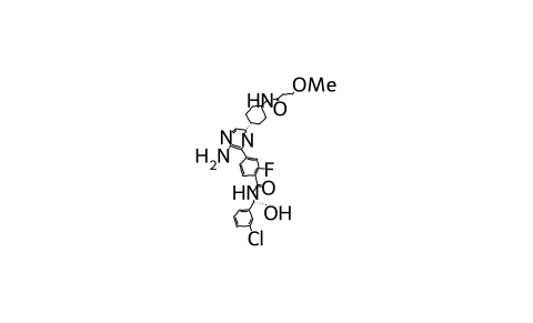 COCCC(=O)N[C@H]1CC[C@H](c2cnc(N)c(-c3ccc(C(=O)N[C@H](CO)c4cccc(Cl)c4)c(F)c3)n2)CC1